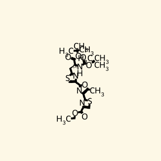 CCOC(=O)c1csc(-c2nc(-c3csc(C[C@H](NC(=O)OC(C)(C)C)C(=O)OC(C)(C)C)n3)oc2C)n1